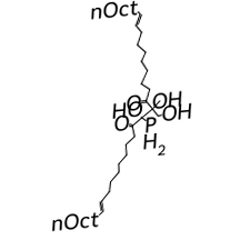 CCCCCCCCC=CCCCCCCCC(=O)C(O)(P)C(O)(CO)C(=O)CCCCCCCC=CCCCCCCCC